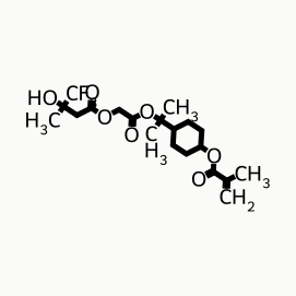 C=C(C)C(=O)OC1CCC(C(C)(C)OC(=O)COC(=O)CC(C)(O)C(F)(F)F)CC1